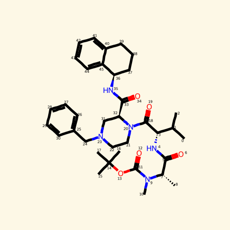 CC(C)[C@H](NC(=O)[C@H](C)N(C)C(=O)OC(C)(C)C)C(=O)N1CCN(Cc2ccccc2)C[C@H]1C(=O)N[C@@H]1CCCc2ccccc21